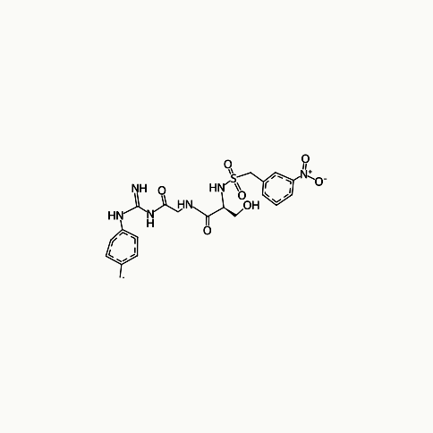 [CH2]c1ccc(NC(=N)NC(=O)CNC(=O)[C@H](CO)NS(=O)(=O)Cc2cccc([N+](=O)[O-])c2)cc1